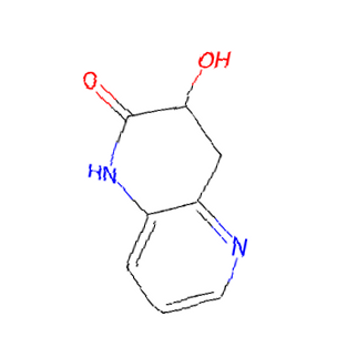 O=C1Nc2cccnc2CC1O